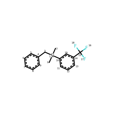 C[Si](C)(Cc1ccccc1)c1cccc(C(F)(F)F)c1